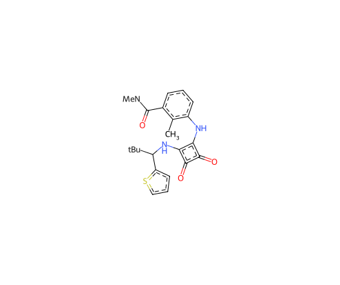 CNC(=O)c1cccc(Nc2c(NC(c3cccs3)C(C)(C)C)c(=O)c2=O)c1C